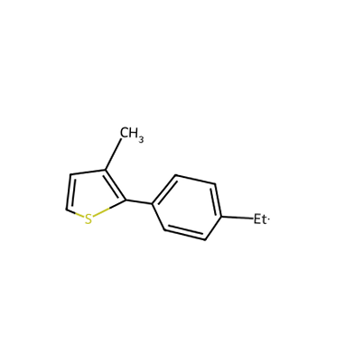 C[CH]c1ccc(-c2sccc2C)cc1